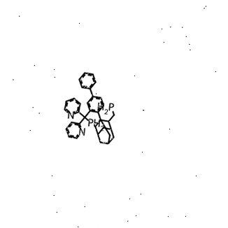 PCC1C2CC3CC(C2)CC1(c1ccc(-c2ccccc2)cc1C(P)(c1ccccn1)c1ccccn1)C3